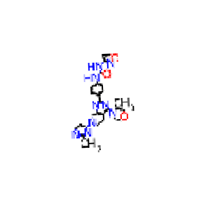 Cc1nccc(N2CCc3c(nc(-c4ccc(NC(=O)Nc5ccon5)cc4)nc3N3CCOC[C@@H]3C)C2)n1